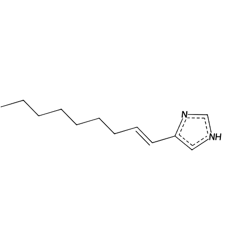 CCCCCCCC=Cc1c[nH]cn1